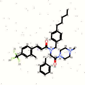 CCCCCc1ccc(CN(C(=O)/C=C/c2ccc(C(F)(F)F)cc2C)[C@@H](Cc2ccccc2)C(=O)N2CCN(C)CC2)cc1